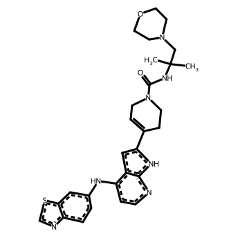 CC(C)(CN1CCOCC1)NC(=O)N1CC=C(c2cc3c(Nc4ccc5ncsc5c4)ccnc3[nH]2)CC1